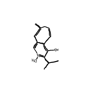 Cc1ccc2c(Br)c(C(C)C)[n+](O)cc2c1